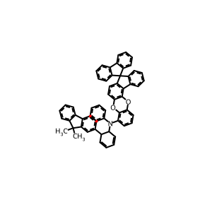 CC1(C)c2ccccc2-c2ccc(C3C=CC=CC3N(c3ccccc3)c3cccc4c3Oc3ccc5c(c3O4)-c3ccccc3C53c4ccccc4-c4ccccc43)cc21